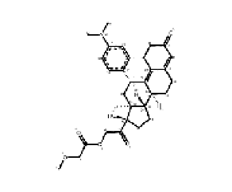 COCC(=O)OCC(=O)[C@@]1(O)CC[C@H]2[C@@H]3CCC4=CC(=O)CCC4=C3[C@@H](c3ccc(N(C)C)cc3)C[C@@]21C